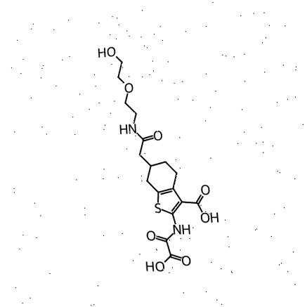 O=C(CC1CCc2c(sc(NC(=O)C(=O)O)c2C(=O)O)C1)NCCOCCO